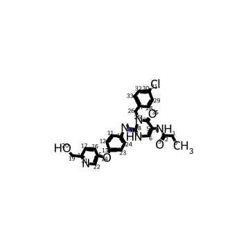 CCC(=O)Nc1c[nH]/c(=N\c2ccc(Oc3ccc(CO)nc3)cc2)n(Cc2ccc(Cl)cc2)c1=O